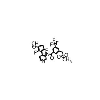 COc1ccc(F)c(-c2ccncc2NC(=O)c2cc(CS(C)(=O)=O)cc(C(F)(F)F)c2)c1F